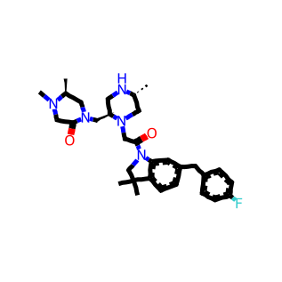 C[C@@H]1CN(CC(=O)N2CC(C)(C)c3ccc(Cc4ccc(F)cc4)cc32)[C@@H](CN2C[C@H](C)N(C)CC2=O)CN1